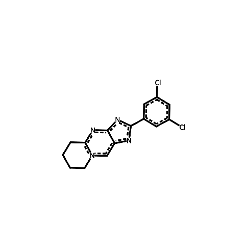 Clc1cc(Cl)cc(-c2nc3cn4c(nc-3n2)CCCC4)c1